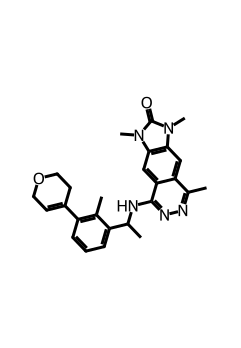 Cc1c(C2=CCOCC2)cccc1C(C)Nc1nnc(C)c2cc3c(cc12)n(C)c(=O)n3C